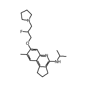 Cc1cc2c3c(c(NC(C)C)nc2cc1OCC(F)CN1CCCC1)CCC3